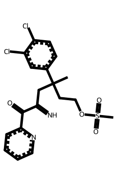 CC(CCOS(C)(=O)=O)(CC(=N)C(=O)c1ccccn1)c1ccc(Cl)c(Cl)c1